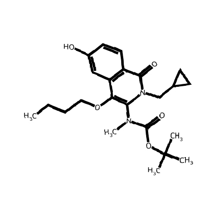 CCCCOc1c(N(C)C(=O)OC(C)(C)C)n(CC2CC2)c(=O)c2ccc(O)cc12